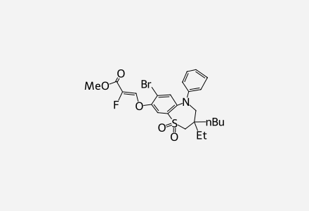 CCCCC1(CC)CN(c2ccccc2)c2cc(Br)c(O/C=C(\F)C(=O)OC)cc2S(=O)(=O)C1